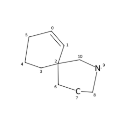 C1=CC2(CCC1)CCC[N]C2